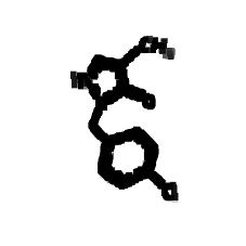 Cc1c[nH]n(Cc2ccc(Cl)cc2)c1=O